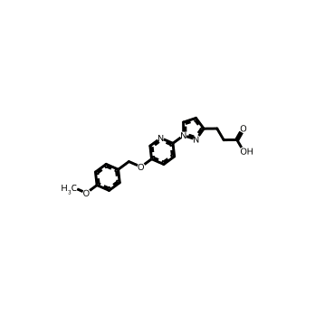 COc1ccc(COc2ccc(-n3ccc(CCC(=O)O)n3)nc2)cc1